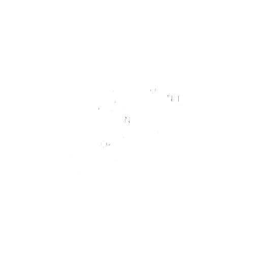 NC(=O)c1cccc2c1c1[c]ccc(Cl)c1n2Cc1ccccc1Oc1ccccc1